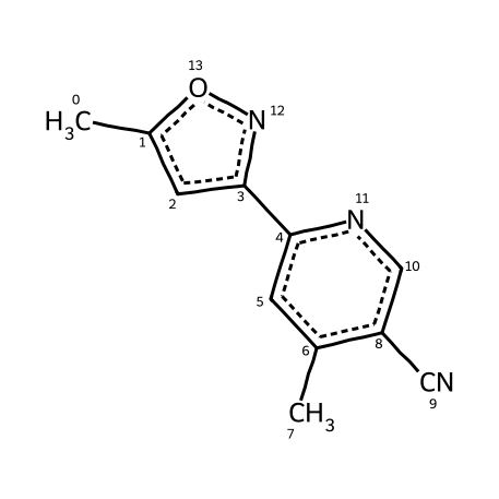 Cc1cc(-c2cc(C)c(C#N)cn2)no1